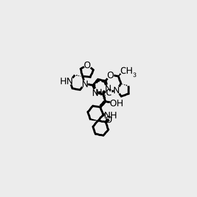 C[C@H](Oc1cc(N2CCNC[C@]23CCOC3)nc(/C(O)=C2\CCC[C@@]3(CCCCC3=O)C2=N)n1)[C@@H]1CCCN1C